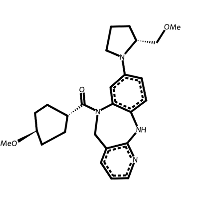 COC[C@H]1CCCN1c1ccc2c(c1)N(C(=O)[C@H]1CC[C@H](OC)CC1)Cc1cccnc1N2